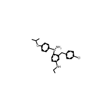 CCNc1ccc(N(N)c2ccc(OC(C)C)cc2)c(Cc2ccc(Cl)cc2)c1